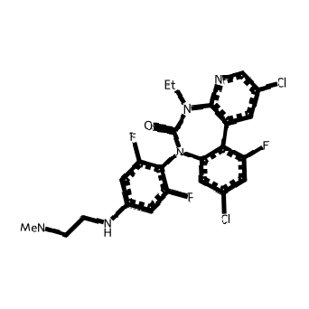 CCN1C(=O)N(c2c(F)cc(NCCNC)cc2F)c2cc(Cl)cc(F)c2-c2cc(Cl)cnc21